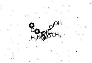 CCC(=O)N(CCOCCO)n1cc(-c2ccc(Oc3ccccc3)cc2)c2c(N)ncnc21